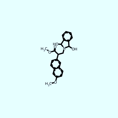 COC(=O)C(CN1C(O)c2ccccc2C1O)c1ccc2cc(OC)ccc2c1